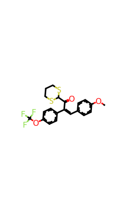 COc1ccc(C=C(C(=O)C2SCCCS2)c2ccc(OC(F)(F)F)cc2)cc1